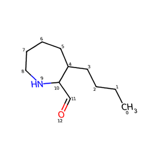 CCCCC1CCCCNC1C=O